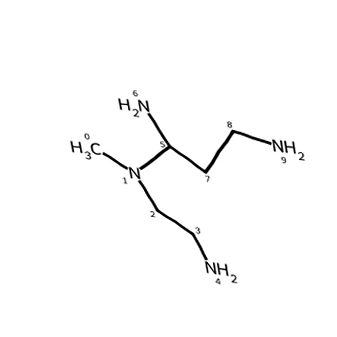 CN(CCN)C(N)CCN